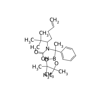 C=CCCC(N(C(=O)O)C(C)(B1OC(C)(C)C(C)(C)O1)c1ccccc1)C(C)(C)C